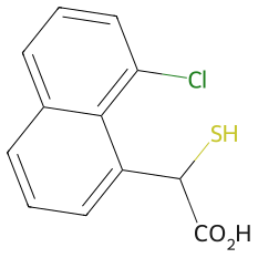 O=C(O)C(S)c1cccc2cccc(Cl)c12